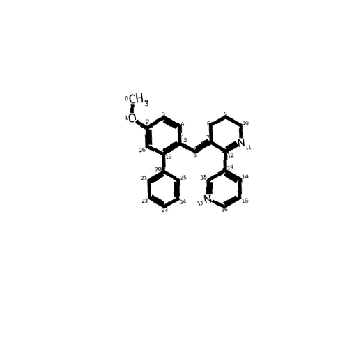 COc1ccc(C=C2CCCN=C2c2cccnc2)c(-c2ccccc2)c1